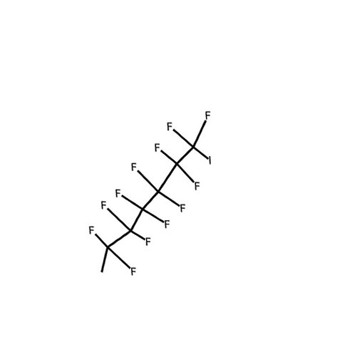 CC(F)(F)C(F)(F)C(F)(F)C(F)(F)C(F)(F)C(F)(F)I